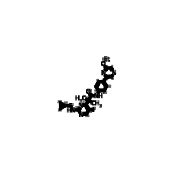 CCOc1cncc(-c2ccc(NC(=O)C(C)(C)c3nc(NSC4CC4)ncc3F)cc2)n1